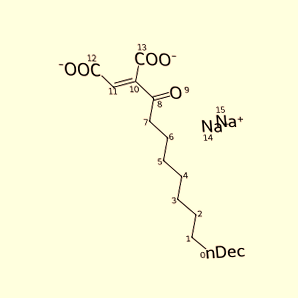 CCCCCCCCCCCCCCCCCC(=O)C(=CC(=O)[O-])C(=O)[O-].[Na+].[Na+]